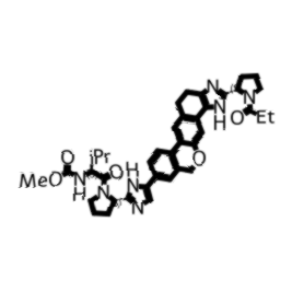 CCC(=O)N1CCC[C@H]1c1nc2c([nH]1)-c1cc3c(cc1CC2)-c1ccc(-c2cnc([C@@H]4CCCN4C(=O)[C@@H](NC(=O)OC)C(C)C)[nH]2)cc1CO3